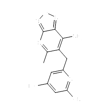 Cc1nc2nonc2c(N)c1Cc1cc(C(F)(F)F)cc(C#N)n1